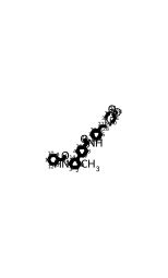 Cc1ccc(NC(=O)C2CCCCC2)cc1-c1ccc(C(=O)Nc2ccc(CCN3CCS(=O)(=O)CC3)cc2)cc1